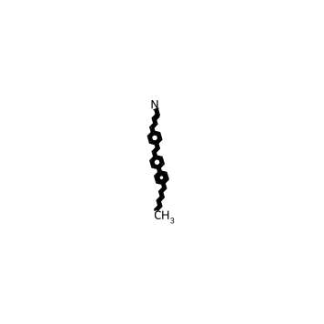 CCCCCCCc1ccc(C2CCC(CCC3CCC(CCC=CC#N)CC3)CC2)cc1